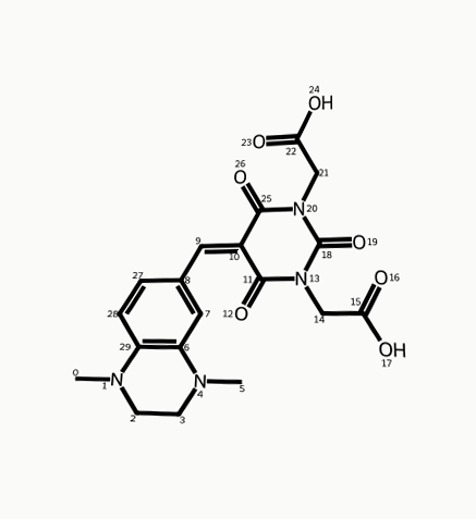 CN1CCN(C)c2cc(C=C3C(=O)N(CC(=O)O)C(=O)N(CC(=O)O)C3=O)ccc21